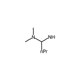 CCCC([NH])N(C)C